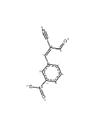 N#CC([C]=O)=Cc1cccc([N+](=O)[O-])c1